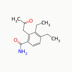 CCc1ccc(C(N)=O)c(CC(C)=O)c1CC